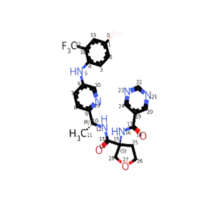 Bc1ccc(Nc2ccc([C@@H](C)NC(=O)[C@]3(NC(=O)c4cncnc4)CCOC3)nc2)c(C(F)(F)F)c1